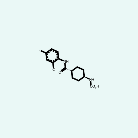 O=C(O)N[C@H]1CC[C@H](C(=O)Nc2ccc(F)cc2Cl)CC1